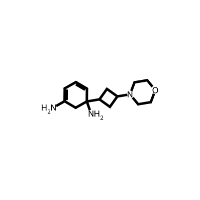 NC1=CC=CC(N)(C2CC(N3CCOCC3)C2)C1